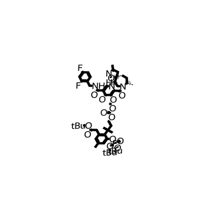 CC1=NO[C@@]2(CC[C@H](C)N3C[C@H]2n2cc(C(=O)NCc4ccc(F)cc4F)c(=O)c(OCOC(=O)OCCC(C)(C)c4c(CC(=O)OC(C)(C)C)cc(C)cc4OP(=O)(OC(C)(C)C)OC(C)(C)C)c2C3=O)C1